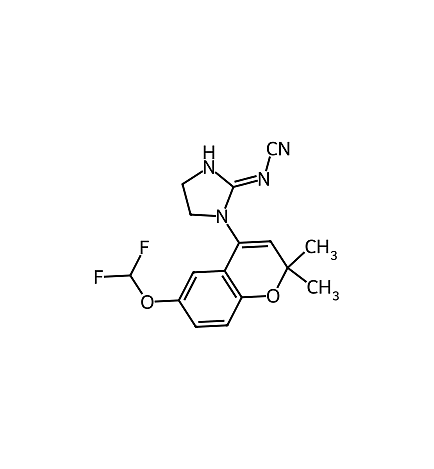 CC1(C)C=C(N2CCNC2=NC#N)c2cc(OC(F)F)ccc2O1